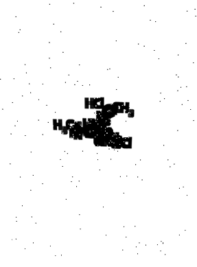 Cc1nnc([C@H]2CC[C@H](NC(=O)C(=O)Nc3ccc(Cl)cn3)[C@H](NC(=O)c3nc4c(s3)CN(C)CC4)C2)s1.Cl